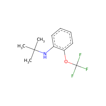 CC(C)(C)Nc1ccccc1OC(F)(F)F